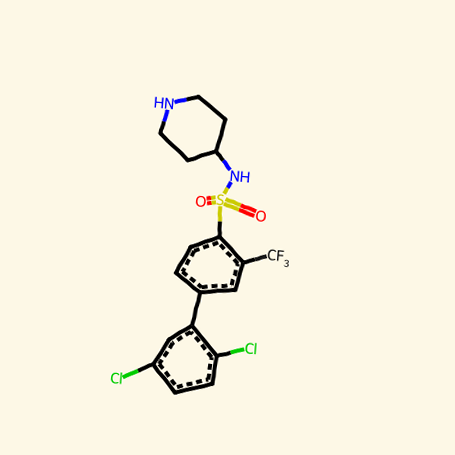 O=S(=O)(NC1CCNCC1)c1ccc(-c2cc(Cl)ccc2Cl)cc1C(F)(F)F